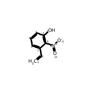 C=[C]c1cccc(O)c1[N+](=O)[O-]